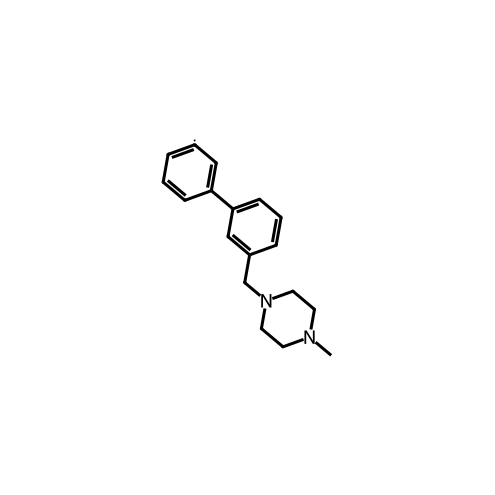 CN1CCN(Cc2cccc(-c3c[c]ccc3)c2)CC1